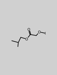 CC(C)COC(=O)COI